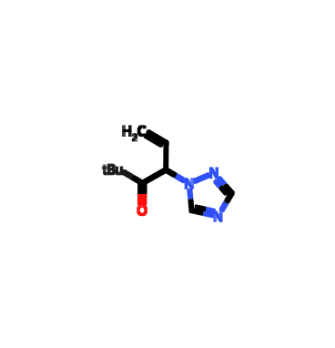 C=CC(C(=O)C(C)(C)C)n1cncn1